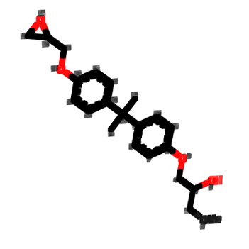 COCC(O)COc1ccc(C(C)(C)c2ccc(OCC3CO3)cc2)cc1